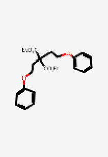 CCOC(=O)C(CCOc1ccccc1)(CCOc1ccccc1)C(=O)OCC